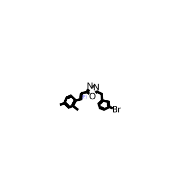 Cc1ccc(/C=C/c2nnc(Cc3cccc(Br)c3)o2)c(C)c1